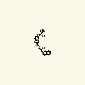 O=C(NC[C@H](O)CN1CCc2ccccc2C1)c1cn2cc(NC(O)c3ncco3)ccc2n1